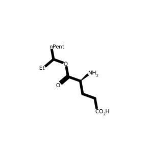 CCCCCC(CC)OC(=O)[C@@H](N)CCC(=O)O